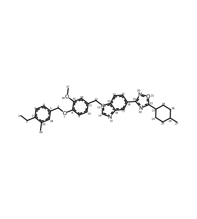 CCc1ccc(COc2ccc(Cn3cnc4cc(-c5noc(C6CCC(C)CC6)n5)ccc43)cc2OC)cc1C